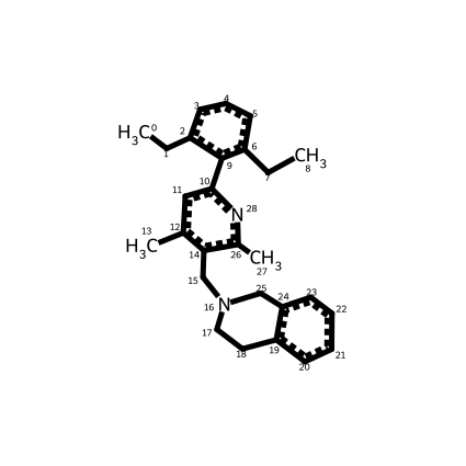 CCc1cccc(CC)c1-c1cc(C)c(CN2CCc3ccccc3C2)c(C)n1